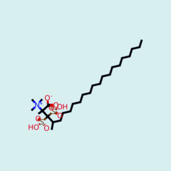 CCCCCCCCCCCCCCCCCCC(C)C(C(C)(C(=O)[O-])[N+](C)(C)C)(S(=O)(=O)O)S(=O)(=O)O